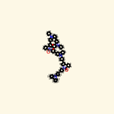 O=c1c2ccccc2c2cc(-c3ccc(-n4c5ccccc5c5cc(-c6ccc(-n7c(=O)c8ccccc8c8cc(-c9ccc%10c(c9)c9c(-c%11ccc%12c(c%11)c%11ccccc%11n%12-c%11ccccc%11)cccc9n%10-c9ccccc9)ccc87)cc6)ccc54)cc3)ccc2n1-c1ccc(-c2ccc(-n3c4ccccc4c4ccccc43)cc2)cc1